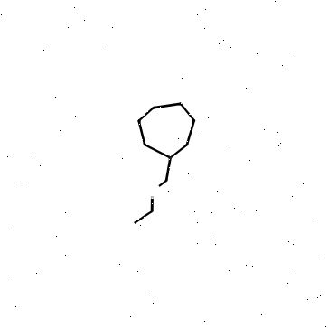 CCOCC1CCCCCC1